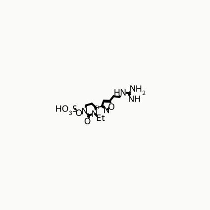 CCN1C(=O)N(OS(=O)(=O)O)CC[C@H]1c1cc(CCNC(=N)N)on1